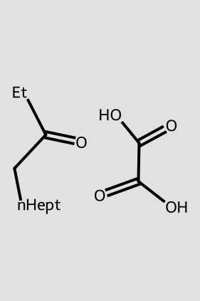 CCCCCCCCC(=O)CC.O=C(O)C(=O)O